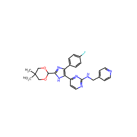 CC1(C(=O)O)COC(c2nc(-c3ccc(F)cc3)c(-c3ccnc(NCc4ccncc4)n3)[nH]2)OC1